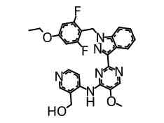 CCOc1cc(F)c(Cn2nc(-c3ncc(OC)c(Nc4ccncc4CO)n3)c3ccccc32)c(F)c1